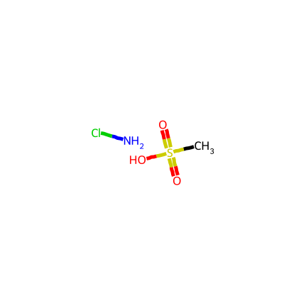 CS(=O)(=O)O.NCl